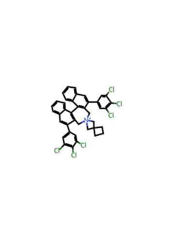 Clc1cc(-c2cc3ccccc3c3c2C[N+]2(Cc4c(-c5cc(Cl)c(Cl)c(Cl)c5)cc5ccccc5c4-3)CC3(CCC3)C2)cc(Cl)c1Cl